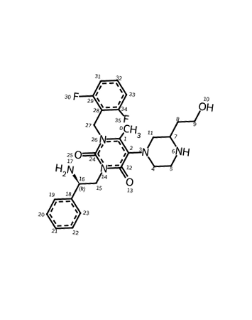 Cc1c(N2CCNC(CCO)C2)c(=O)n(C[C@H](N)c2ccccc2)c(=O)n1Cc1c(F)cccc1F